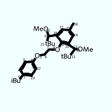 CCC(C)c1ccc(OCCOc2c(C(OC)C(C)(C)C)cc(C)cc2C(OC)C(C)(C)C)cc1